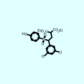 CCOC(=O)C(CC(c1cc(Cl)cc(Cl)c1)S(=O)(=O)c1ccc(O)cc1)C(=O)OCC